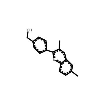 Cc1ccc2nc(-c3ccc(CO)cc3)c(C)cc2c1